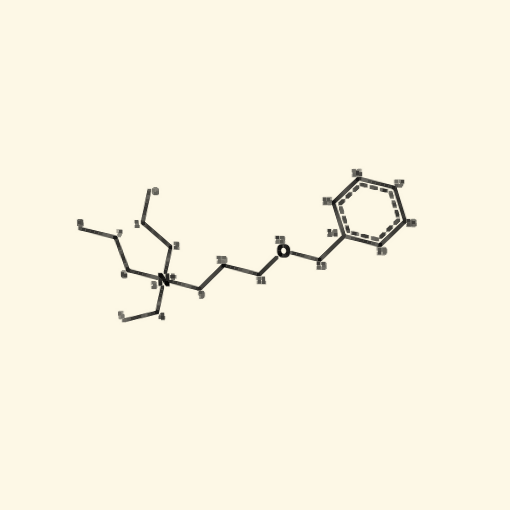 CCC[N+](CC)(CCC)CCCOCc1ccccc1